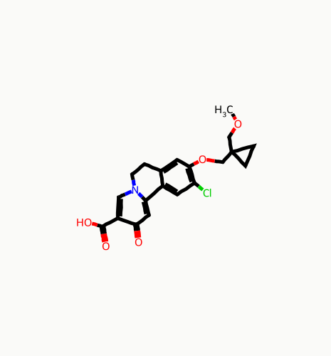 COCC1(COc2cc3c(cc2Cl)-c2cc(=O)c(C(=O)O)cn2CC3)CC1